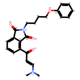 CN(C)C=CC(=O)c1cccc2c1C(=O)N(CCCCOc1ccccc1)C2=O